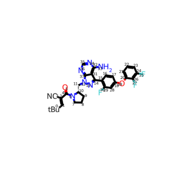 CC(C)(C)C=C(C#N)C(=O)N1CCC[C@H]1Cn1nc(-c2ccc(Oc3cccc(F)c3F)cc2F)c2c(N)ncnc21